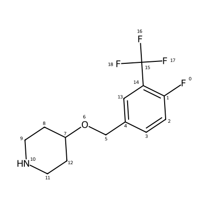 Fc1ccc(COC2CCNCC2)cc1C(F)(F)F